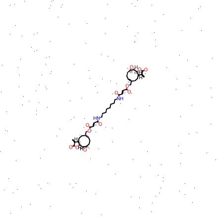 C=C1C(=O)O[C@H]2[C@H]1CC/C(COC(=O)/C=C/C(=O)NCCCCCCCCNC(=O)/C=C/C(=O)OC/C1=C/CC[C@@]3(C)O[C@H]3[C@H]3OC(=O)C(=C)[C@@H]3CC1)=C\CC[C@@]1(C)O[C@@H]21